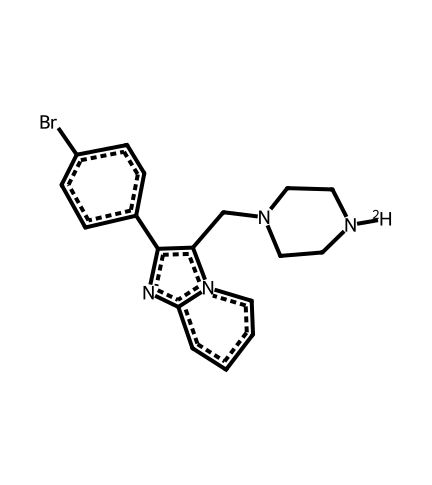 [2H]N1CCN(Cc2c(-c3ccc(Br)cc3)nc3ccccn23)CC1